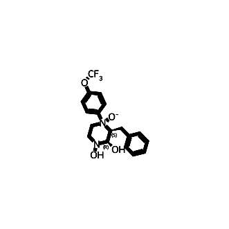 [O-][N+]1(c2ccc(OC(F)(F)F)cc2)CCN(O)[C@H](O)[C@@H]1Cc1ccccc1